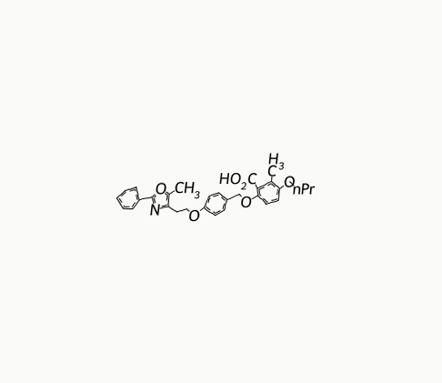 CCCOc1ccc(OCc2ccc(OCCc3nc(-c4ccccc4)oc3C)cc2)c(C(=O)O)c1C